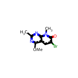 COc1nc(C)nc2c1cc(Br)c(=O)n2C